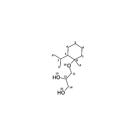 CC(C)C1CCCCC1(C)OCC(O)CO